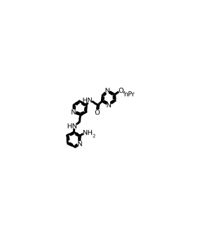 CCCOc1cnc(C(=O)Nc2ccnc(CNc3cccnc3N)c2)cn1